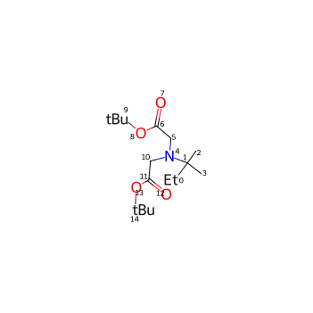 CCC(C)(C)N(CC(=O)OC(C)(C)C)CC(=O)OC(C)(C)C